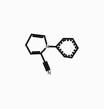 N#CC1=CCC=CN1c1ccccc1